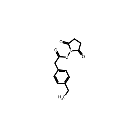 CCc1ccc(CC(=O)ON2C(=O)CCC2=O)cc1